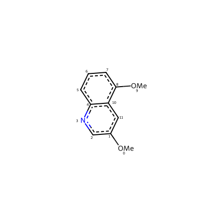 COc1cnc2cccc(OC)c2c1